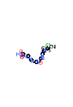 CC1CC2(CCN(c3ccc(C(=O)N4CCC(CN5CCN(c6cccc(NC7CCC(=O)NC7=O)c6)CC5)CC4)cn3)CC2)CN1c1ccc(C#N)c(Cl)c1